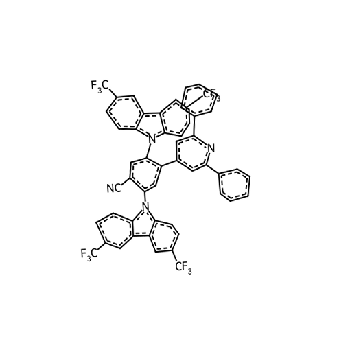 N#Cc1cc(-n2c3ccc(C(F)(F)F)cc3c3cc(C(F)(F)F)ccc32)c(-c2cc(-c3ccccc3)nc(-c3ccccc3)c2)cc1-n1c2ccc(C(F)(F)F)cc2c2cc(C(F)(F)F)ccc21